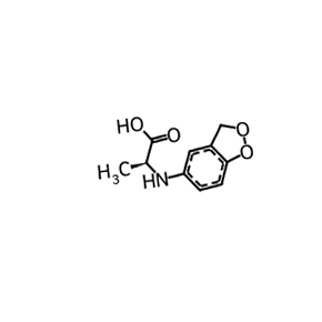 C[C@H](Nc1ccc2c(c1)COO2)C(=O)O